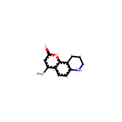 CCCC(C)c1cc(=O)oc2c3c(ccc12)NCCC3